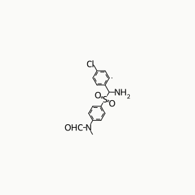 CN(C=O)c1ccc(S(=O)(=O)C(N)c2[c]cc(Cl)cc2)cc1